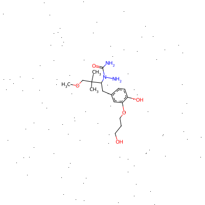 COCC(C)(C)C(Cc1ccc(O)c(OCCCO)c1)N(N)C(N)=O